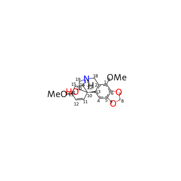 COc1c2c(cc3c1OCO3)[C@]13C=C[C@H](OC)C[C@H]1N(C2)C[C@@H]3O